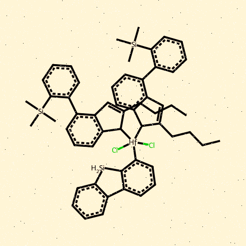 CCCCC1=Cc2c(-c3ccccc3[Si](C)(C)C)cccc2[CH]1[Hf]([Cl])([Cl])([c]1cccc2c1[SiH2]c1ccccc1-2)[CH]1C(CCCC)=Cc2c(-c3ccccc3[Si](C)(C)C)cccc21